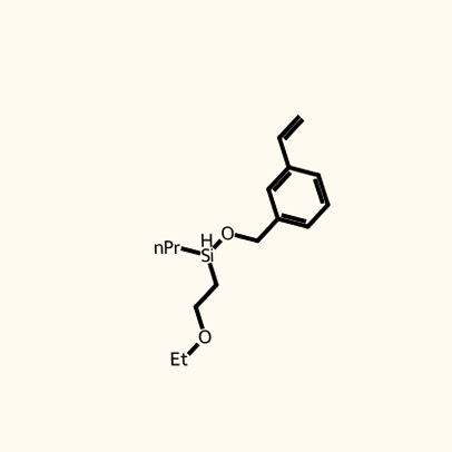 C=Cc1cccc(CO[SiH](CCC)CCOCC)c1